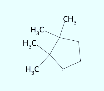 CC1(C)[CH]CCC1(C)C